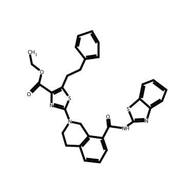 CCOC(=O)c1nc(N2CCc3cccc(C(=O)Nc4nc5ccccc5s4)c3C2)sc1CCc1ccccc1